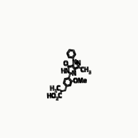 COc1cc(CC(C)C(=O)O)ccc1-c1nc2c(C)nn(-c3ccccc3)c2c(=O)[nH]1